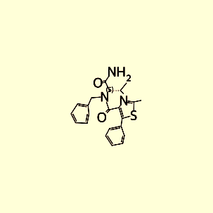 Cc1nc(C(=O)N(Cc2ccccc2)[C@H](C(N)=O)C(C)C)c(-c2ccccc2)s1